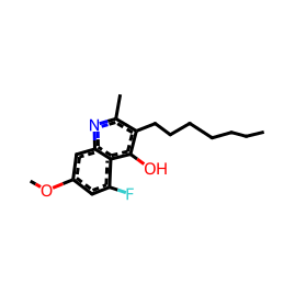 CCCCCCCc1c(C)nc2cc(OC)cc(F)c2c1O